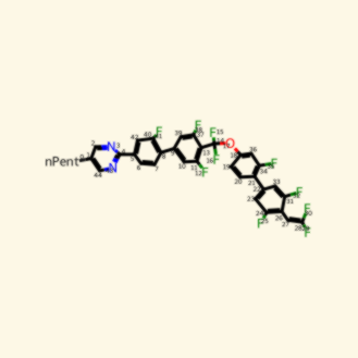 CCCCCc1cnc(-c2ccc(-c3cc(F)c(C(F)(F)Oc4ccc(-c5cc(F)c(C=C(F)F)c(F)c5)c(F)c4)c(F)c3)c(F)c2)nc1